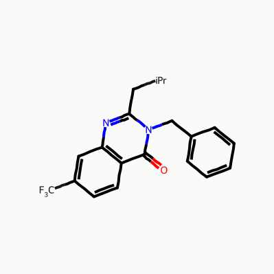 CC(C)Cc1nc2cc(C(F)(F)F)ccc2c(=O)n1Cc1ccccc1